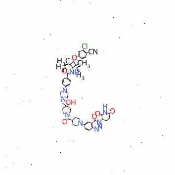 CC1(C)[C@H](NC(=O)c2ccc(N3CCN(CC4(O)CCN(C(=O)C5CCN(c6ccc7nnn(C8CCC(=O)NC8=O)c(=O)c7c6)CC5)CC4)CC3)cc2)C(C)(C)[C@H]1Oc1ccc(C#N)c(Cl)c1